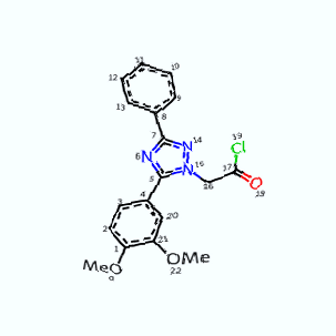 COc1ccc(-c2nc(-c3ccccc3)nn2CC(=O)Cl)cc1OC